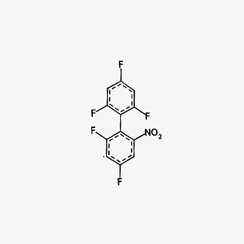 O=[N+]([O-])c1cc(F)[c]c(F)c1-c1c(F)cc(F)cc1F